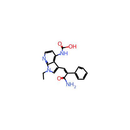 CCn1cc(C=C(C(N)=O)c2ccccc2)c2c(NC(=O)O)ccnc21